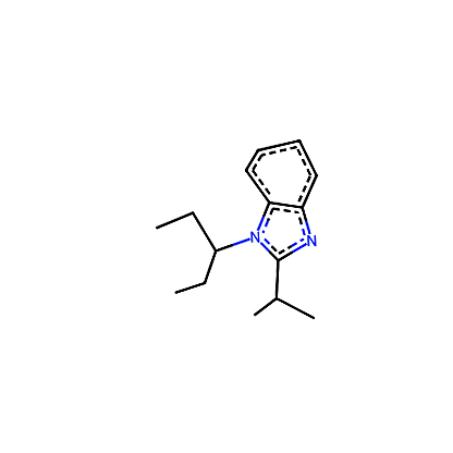 CCC(CC)n1c(C(C)C)nc2ccccc21